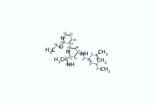 C=C(C)C/C(=C\CCC)CNc1cc(C(C)=N)nc(-c2cccnc2OCC)c1